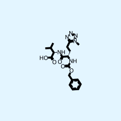 CC(C)[C@H](NC(=O)[C@H](CCc1nnnn1C)NC(=O)OCc1ccccc1)C(=O)O